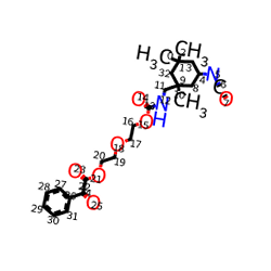 CC1(C)CC(N=C=O)CC(C)(CNC(=O)OCCOCCOC(=O)C(=O)c2ccccc2)C1